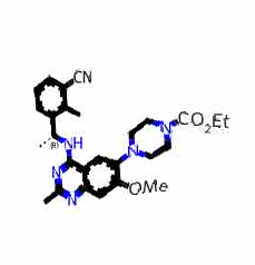 CCOC(=O)N1CCN(c2cc3c(N[C@H](C)c4cccc(C#N)c4C)nc(C)nc3cc2OC)CC1